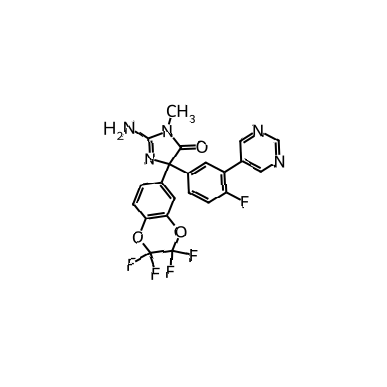 CN1C(=O)C(c2ccc3c(c2)OC(F)(F)C(F)(F)O3)(c2ccc(F)c(-c3cncnc3)c2)N=C1N